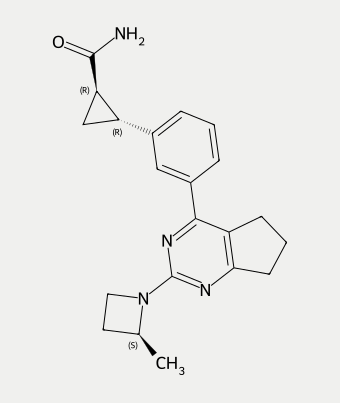 C[C@H]1CCN1c1nc2c(c(-c3cccc([C@@H]4C[C@H]4C(N)=O)c3)n1)CCC2